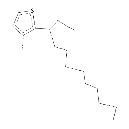 CCCCCCCCCC(CC)c1sccc1C